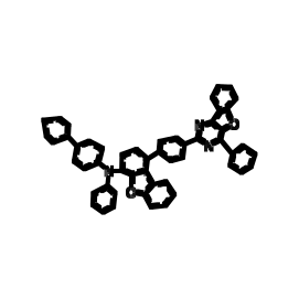 c1ccc(-c2ccc(N(c3ccccc3)c3ccc(-c4ccc(-c5nc(-c6ccccc6)c6oc7ccccc7c6n5)cc4)c4c3oc3ccccc34)cc2)cc1